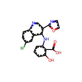 O=C(O)c1c(O)cccc1Nc1c(-c2ncco2)cnc2ccc(Br)cc12